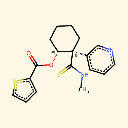 CNC(=S)[C@]1(c2cccnc2)CCCC[C@H]1OC(=O)c1cccs1